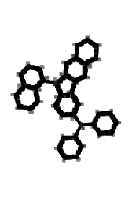 c1ccc(N(c2ccccc2)c2ccc3c(c2)c2cc4ccccc4cc2n3-c2cccc3ccccc23)cc1